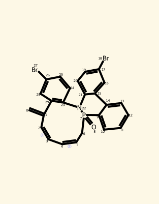 C=C1/C=C\C=C/CP2(=O)c3ccccc3-c3cc(Br)ccc3N2c2ccc(Br)cc21